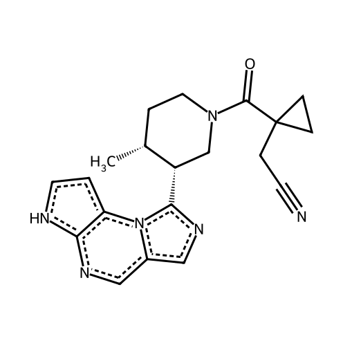 C[C@@H]1CCN(C(=O)C2(CC#N)CC2)C[C@@H]1c1ncc2cnc3[nH]ccc3n12